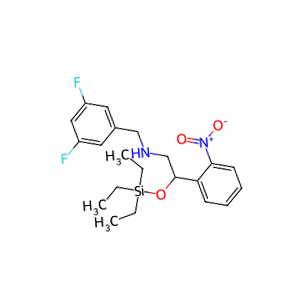 CC[Si](CC)(CC)OC(CNCc1cc(F)cc(F)c1)c1ccccc1[N+](=O)[O-]